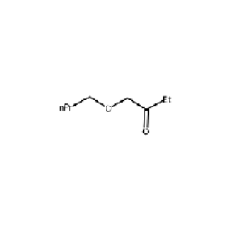 CCCCOCC(=O)CC